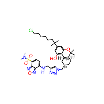 CN(C)S(=O)(=O)c1ccc(NCc2cn(C[C@@H]3CC[C@@H]4[C@@H](C3)c3c(O)cc(C(C)(C)CCCCCCCl)cc3OC4(C)C)nn2)c2nonc12